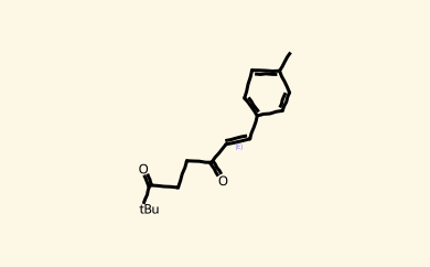 Cc1ccc(/C=C/C(=O)CCC(=O)C(C)(C)C)cc1